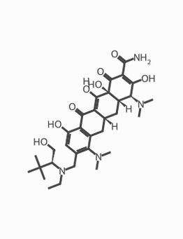 CCN(Cc1cc(O)c2c(c1N(C)C)C[C@H]1C[C@H]3[C@H](N(C)C)C(O)=C(C(N)=O)C(=O)[C@@]3(O)C(O)=C1C2=O)[C@H](CO)C(C)(C)C